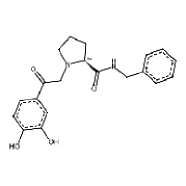 O=C(CN1CCC[C@H]1C(=O)NCc1ccccc1)c1ccc(O)c(O)c1